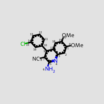 COc1cc2nc(N)c(C#N)c(-c3cccc(Cl)c3)c2cc1OC